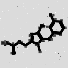 CC(C)c1nc(COC(N)=O)n(C)c1Sc1cccc(F)c1